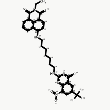 CCN1C(=S)c2cccc3c(NCCCCCCCNc4nc(=O)c5cc(C(F)(F)F)cc([N+](=O)[O-])c5s4)ccc(c23)C1=S